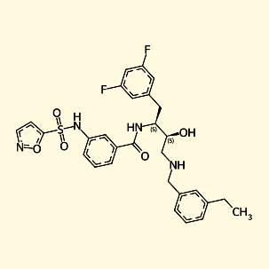 CCc1cccc(CNC[C@H](O)[C@H](Cc2cc(F)cc(F)c2)NC(=O)c2cccc(NS(=O)(=O)c3ccno3)c2)c1